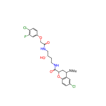 CNC1CC(C(=O)NCC[C@H](O)CNC(=O)COc2ccc(Cl)c(F)c2)Oc2ccc(Cl)cc21